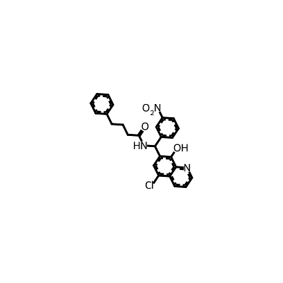 O=C(CCCc1ccccc1)NC(c1cccc([N+](=O)[O-])c1)c1cc(Cl)c2cccnc2c1O